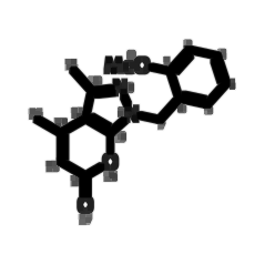 COc1ccccc1Cn1nc(C)c2c(C)cc(=O)oc21